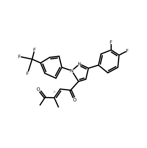 CC(=O)/C(C)=C/C(=O)c1cc(-c2ccc(F)c(F)c2)nn1-c1ccc(C(F)(F)F)cc1